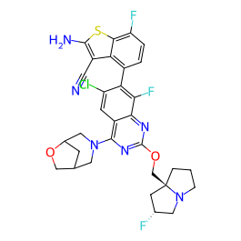 N#Cc1c(N)sc2c(F)ccc(-c3c(Cl)cc4c(N5CC6COC(C6)C5)nc(OC[C@@]56CCCN5C[C@H](F)C6)nc4c3F)c12